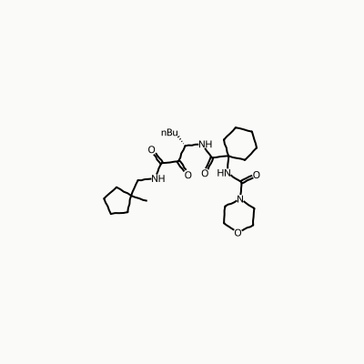 CCCC[C@H](NC(=O)C1(NC(=O)N2CCOCC2)CCCCC1)C(=O)C(=O)NCC1(C)CCCC1